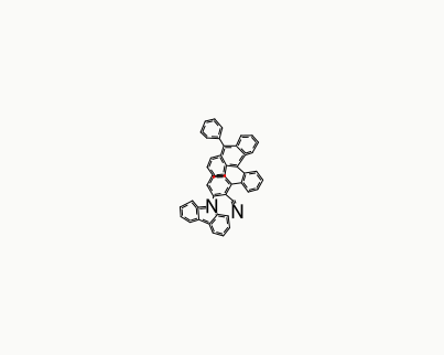 N#Cc1c(-c2ccccc2-c2c3ccccc3c(-c3ccccc3)c3ccccc23)cccc1-n1c2ccccc2c2ccccc21